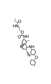 CCC(=O)NCCOC(=O)Nc1cn2ncc(C#N)c(Nc3ccc(Oc4ccccc4)cc3)c2c1C